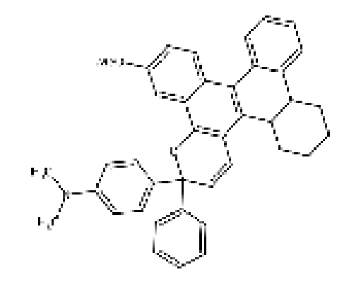 COc1ccc2c3c(c4c(c2c1)OC(c1ccccc1)(c1ccc(N(C)C)cc1)C=C4)C1CCCCC1c1ccccc1-3